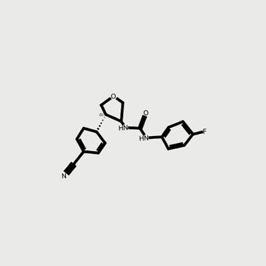 N#CC1=CCC([C@@H]2COCC2NC(=O)Nc2ccc(F)cc2)C=C1